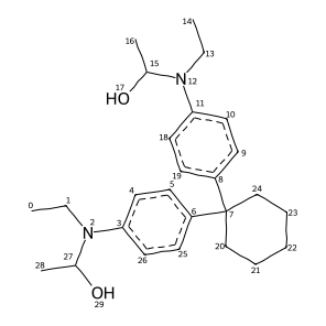 CCN(c1ccc(C2(c3ccc(N(CC)C(C)O)cc3)CCCCC2)cc1)C(C)O